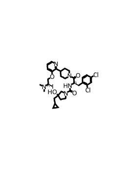 CN(C)[C@H](I)COc1cccnc1C1CCN(C(=O)[C@@H](Cc2ccc(Cl)cc2Cl)NC(=O)N2CCC(O)(CC3CC3)C2)CC1